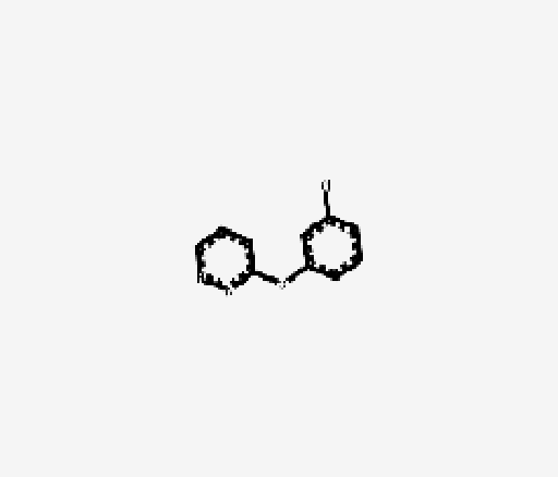 Clc1cccc(Oc2cccnn2)c1